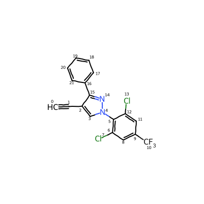 C#Cc1cn(-c2c(Cl)cc(C(F)(F)F)cc2Cl)nc1-c1ccccc1